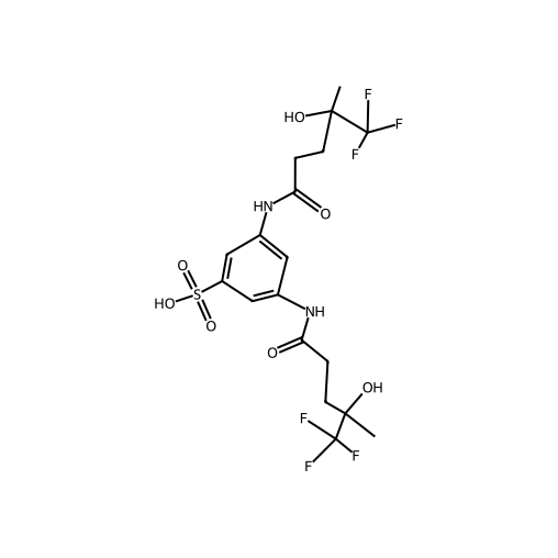 CC(O)(CCC(=O)Nc1cc(NC(=O)CCC(C)(O)C(F)(F)F)cc(S(=O)(=O)O)c1)C(F)(F)F